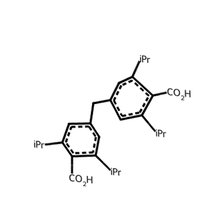 CC(C)c1cc(Cc2cc(C(C)C)c(C(=O)O)c(C(C)C)c2)cc(C(C)C)c1C(=O)O